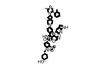 Cc1ccccc1[C@@H]1CN(C)[C@H](C)CN1C1CC2(CCN(c3ccc(C(=O)NS(=O)(=O)c4ccc(NC[C@H]5CC[C@](C)(O)CC5)c([N+](=O)[O-])c4)c(N4c5cc6cc[nH]c6nc5O[C@H]5COCC[C@@H]54)c3)CC2)C1